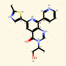 Cc1ncc(-c2cc3c(=O)n(C(C)CO)cnc3c(-c3cccnc3)n2)s1